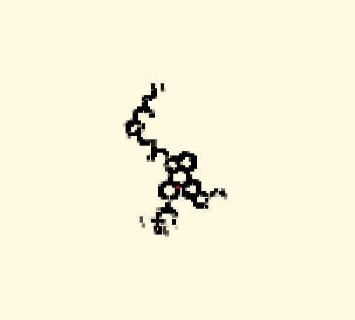 CCOC(=O)Cc1csc(CNC(=O)Cn2nc(C3CCN(C(=O)OC(C)(C)C)CC3)c3c(-c4cc5c(cnn5C)cc4F)cccc32)n1